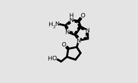 Nc1nc2c(ncn2C2CCC(CO)C2=O)c(=O)[nH]1